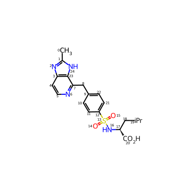 Cc1nc2ccnc(Cc3ccc(S(=O)(=O)N[C@@H](CC(C)C)C(=O)O)cc3)c2[nH]1